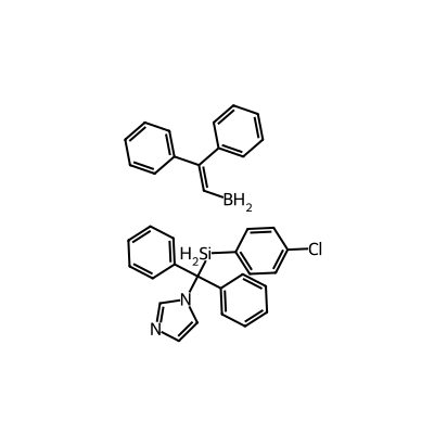 BC=C(c1ccccc1)c1ccccc1.Clc1ccc([SiH2]C(c2ccccc2)(c2ccccc2)n2ccnc2)cc1